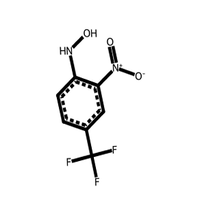 O=[N+]([O-])c1cc(C(F)(F)F)ccc1NO